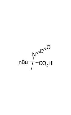 CCCCC(C)(N=C=O)C(=O)O